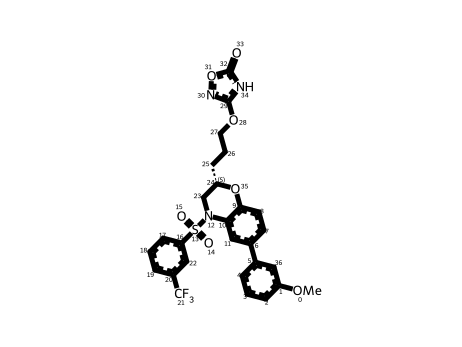 COc1cccc(-c2ccc3c(c2)N(S(=O)(=O)c2cccc(C(F)(F)F)c2)C[C@H](CCCOc2noc(=O)[nH]2)O3)c1